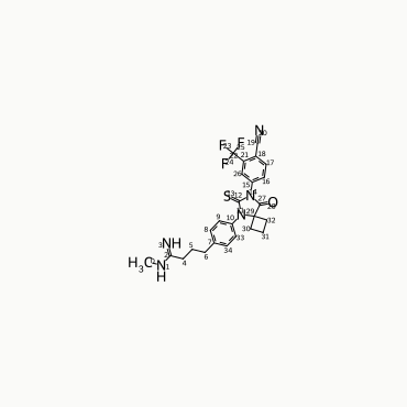 CNC(=N)CCCc1ccc(N2C(=S)N(c3ccc(C#N)c(C(F)(F)F)c3)C(=O)C23CCC3)cc1